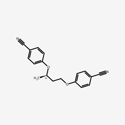 C[C@H](CCOc1ccc(C#N)cc1)Oc1ccc(C#N)cc1